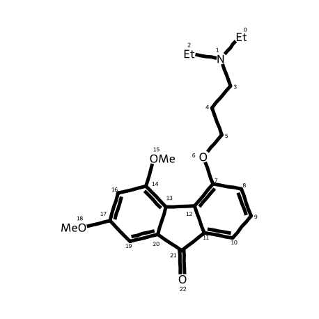 CCN(CC)CCCOc1cccc2c1-c1c(OC)cc(OC)cc1C2=O